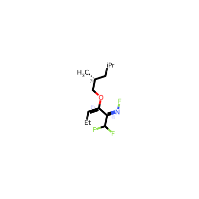 CC/C=C(OC[C@H](C)CC(C)C)\C(=N/F)C(F)F